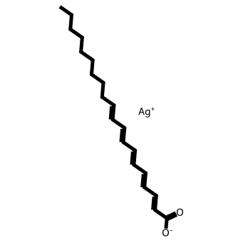 CCCCCCCCCC=CC=CC=CC=CC=CC(=O)[O-].[Ag+]